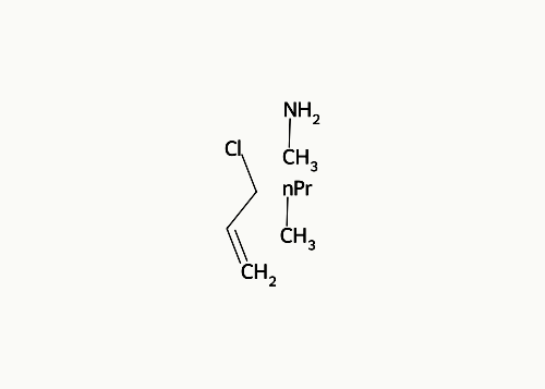 C=CCCl.CCCC.CN